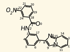 O=C(Nc1cccc(-c2cn3ccccc3n2)c1)c1cccc([N+](=O)[O-])c1